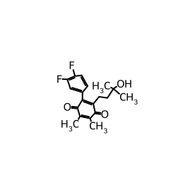 CC1=C(C)C(=O)C(c2ccc(F)c(F)c2)=C(CCC(C)(C)O)C1=O